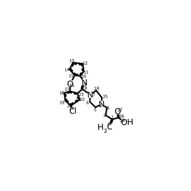 C=C(CCN1CCN(C2=Nc3ccccc3Oc3ccc(Cl)cc32)CC1)C(=O)O